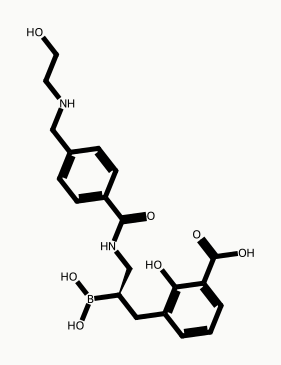 O=C(NC[C@@H](Cc1cccc(C(=O)O)c1O)B(O)O)c1ccc(CNCCO)cc1